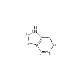 C1=CC2=C(CC1)NCC2